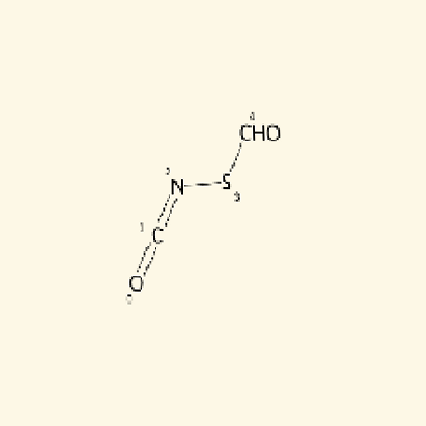 O=C=NSC=O